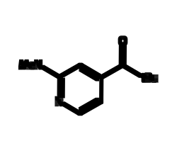 CNc1cc(C(=O)C(C)(C)C)ccn1